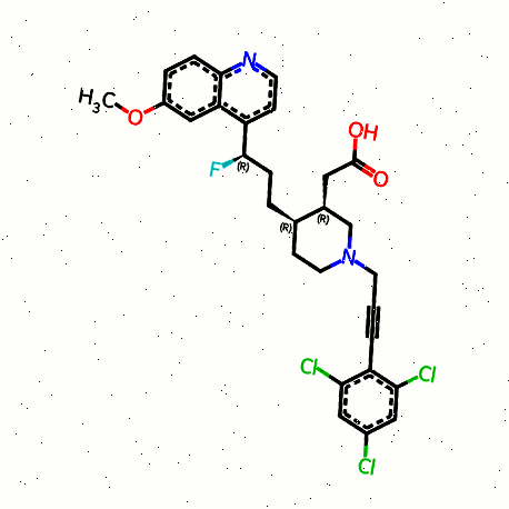 COc1ccc2nccc([C@H](F)CC[C@@H]3CCN(CC#Cc4c(Cl)cc(Cl)cc4Cl)C[C@@H]3CC(=O)O)c2c1